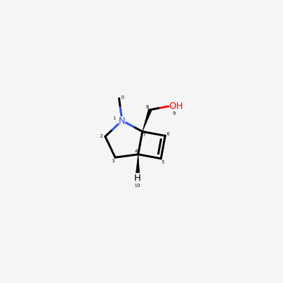 CN1CC[C@H]2C=C[C@]21CO